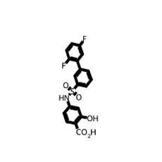 O=C(O)c1ccc(NS(=O)(=O)c2cccc(-c3cc(F)ccc3F)c2)cc1O